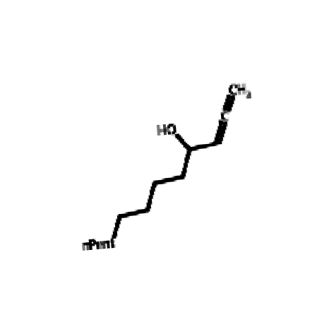 C=C=CC(O)CCCCCCCCC